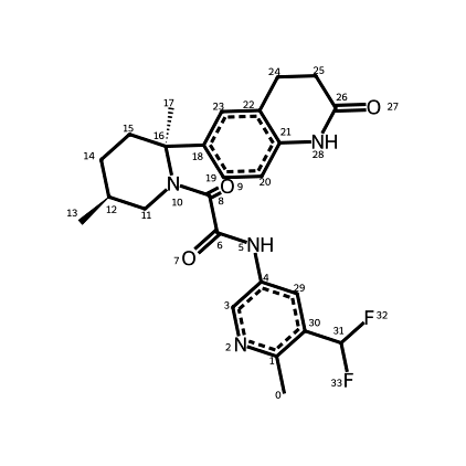 Cc1ncc(NC(=O)C(=O)N2C[C@@H](C)CC[C@@]2(C)c2ccc3c(c2)CCC(=O)N3)cc1C(F)F